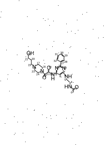 CC(=O)NCCNc1cc(NC(=O)C(=O)N2CCN(CCCO)CC2)nc(-c2ccccc2)n1